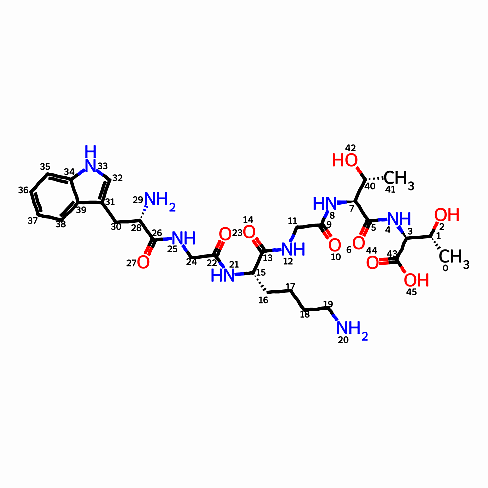 C[C@@H](O)[C@H](NC(=O)[C@@H](NC(=O)CNC(=O)[C@H](CCCCN)NC(=O)CNC(=O)[C@@H](N)Cc1c[nH]c2ccccc12)[C@@H](C)O)C(=O)O